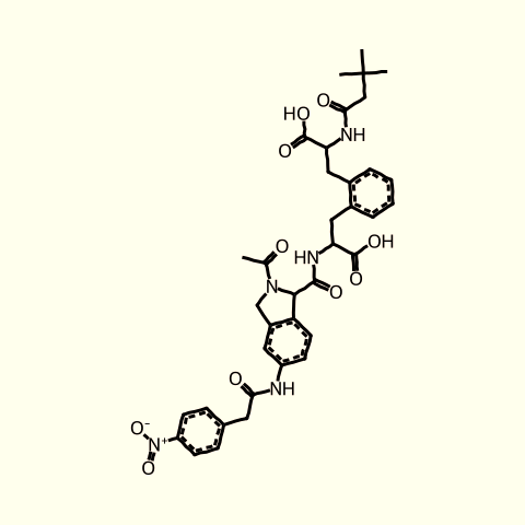 CC(=O)N1Cc2cc(NC(=O)Cc3ccc([N+](=O)[O-])cc3)ccc2C1C(=O)NC(Cc1ccccc1CC(NC(=O)CC(C)(C)C)C(=O)O)C(=O)O